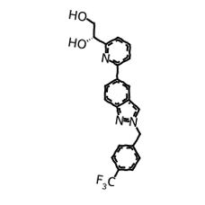 OC[C@@H](O)c1cccc(-c2ccc3nn(Cc4ccc(C(F)(F)F)cc4)cc3c2)n1